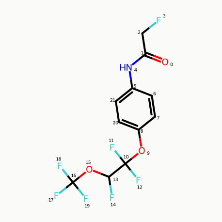 O=C(CF)Nc1ccc(OC(F)(F)C(F)OC(F)(F)F)cc1